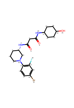 O=C(CC(=O)N[C@H]1CCCN(c2ccc(Br)cc2F)C1)NC1CCC(O)CC1